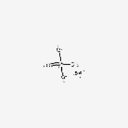 O=P([O-])([O-])[O-].[Se+3]